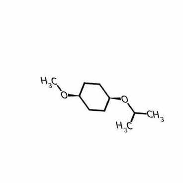 CO[C@H]1CC[C@@H](OC(C)C)CC1